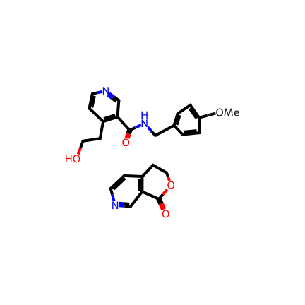 COc1ccc(CNC(=O)c2cnccc2CCO)cc1.O=C1OCCc2ccncc21